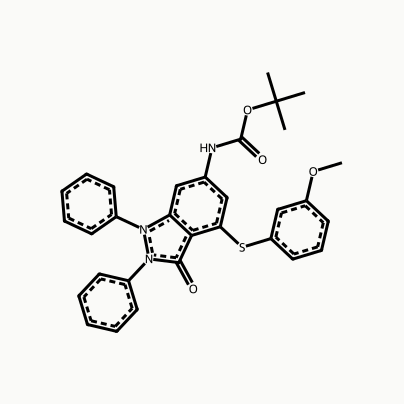 COc1cccc(Sc2cc(NC(=O)OC(C)(C)C)cc3c2c(=O)n(-c2ccccc2)n3-c2ccccc2)c1